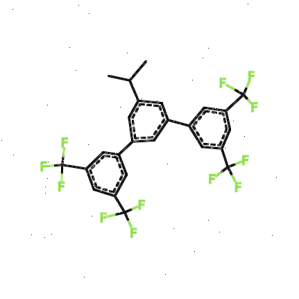 CC(C)c1cc(-c2cc(C(F)(F)F)cc(C(F)(F)F)c2)cc(-c2cc(C(F)(F)F)cc(C(F)(F)F)c2)c1